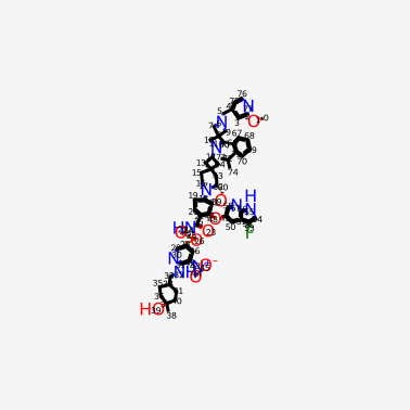 COc1cc(CN2CC3(C2)CN(C2CC4(CCN(c5ccc(C(=O)NS(=O)(=O)c6cnc(NCC7CCC(C)(O)CC7)c([N+](=O)[O-])c6)c(Oc6cc7c(F)c[nH]c7nc6OC)c5)CC4)C2)[C@@H]3c2ccccc2C(C)C)ccn1